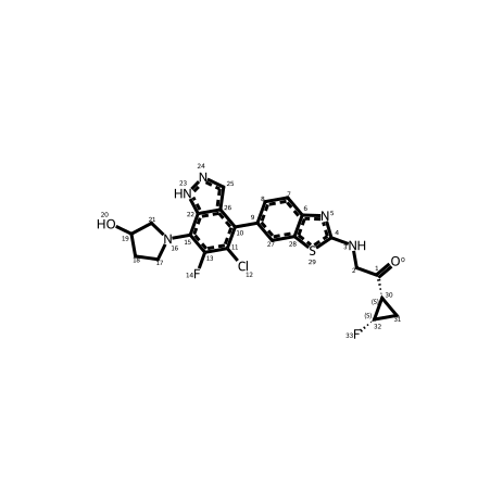 O=C(CNc1nc2ccc(-c3c(Cl)c(F)c(N4CCC(O)C4)c4[nH]ncc34)cc2s1)[C@@H]1C[C@@H]1F